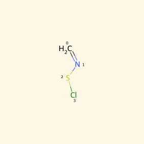 C=NSCl